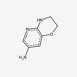 Nc1cnc2c(c1)OCCN2